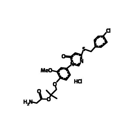 COc1cc(-n2cnc(SCc3ccc(Cl)cc3)cc2=O)ccc1OCC(C)(C)OC(=O)CN.Cl